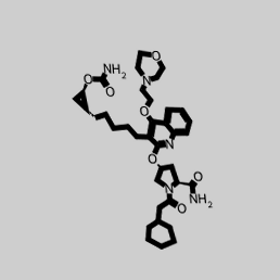 NC(=O)O[C@@H]1C[C@H]1CCCCCc1c(O[C@@H]2C[C@@H](C(N)=O)N(C(=O)CC3CCCCC3)C2)nc2ccccc2c1OCCN1CCOCC1